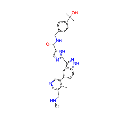 CCNCc1cncc(-c2ccc3[nH]nc(-c4ncc(C(=O)NCc5ccc(C(C)(C)O)cc5)[nH]4)c3c2)c1C